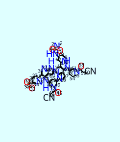 CN(C)S(=O)(=O)Nc1ccnc(-c2cnc3c(ccn3C3C[C@@H](Nc4c(-c5ccc(S(C)(=O)=O)cn5)cnc5[nH]ccc45)CN(C(=O)CC#N)C3)c2N[C@@H]2CCCN(C(=O)CC#N)C2)c1